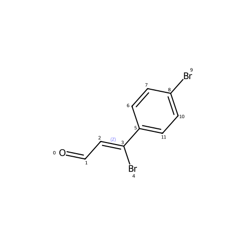 O=C/C=C(\Br)c1ccc(Br)cc1